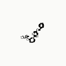 CC(C)(C)[Si](C)(C)OC1CCCCN(c2ncc(OCc3ccccc3)cn2)C1